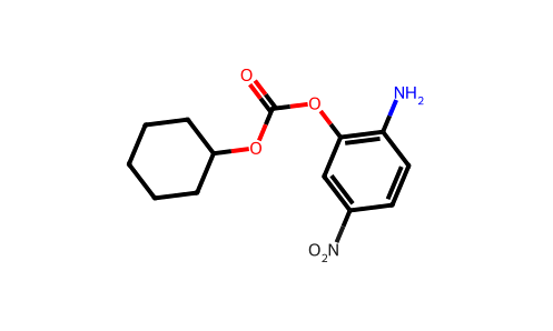 Nc1ccc([N+](=O)[O-])cc1OC(=O)OC1CCCCC1